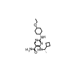 CCO[C@H]1CC[C@H](Nc2ncc(C(N)=O)c(N[C@@H](C)C3CCC3)n2)CC1